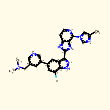 Cc1cn(-c2nccc3[nH]c(-c4n[nH]c5c(F)cc(-c6cncc(CN(C)C)c6)cc45)nc23)cn1